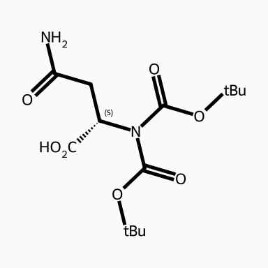 CC(C)(C)OC(=O)N(C(=O)OC(C)(C)C)[C@@H](CC(N)=O)C(=O)O